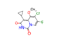 COc1c(Cl)c(F)cn2c(=O)[nH]c(=O)c(C3CC3)c12